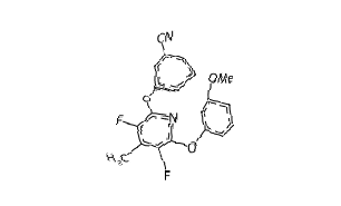 COc1cccc(Oc2nc(Oc3cccc(C#N)c3)c(F)c(C)c2F)c1